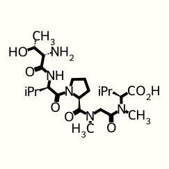 CC(C)[C@@H](C(=O)O)N(C)C(=O)CN(C)C(=O)[C@@H]1CCCN1C(=O)[C@H](NC(=O)[C@@H](N)[C@@H](C)O)C(C)C